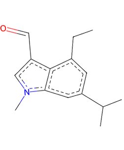 CCc1cc(C(C)C)cc2c1c(C=O)cn2C